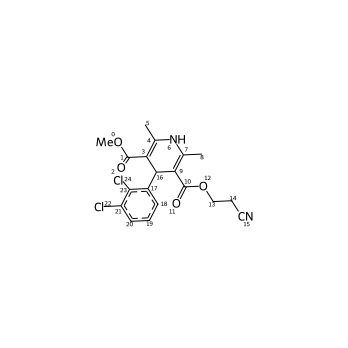 COC(=O)C1=C(C)NC(C)=C(C(=O)OCCC#N)C1c1cccc(Cl)c1Cl